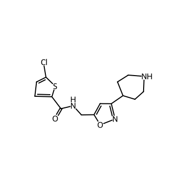 O=C(NCc1cc(C2CCNCC2)no1)c1ccc(Cl)s1